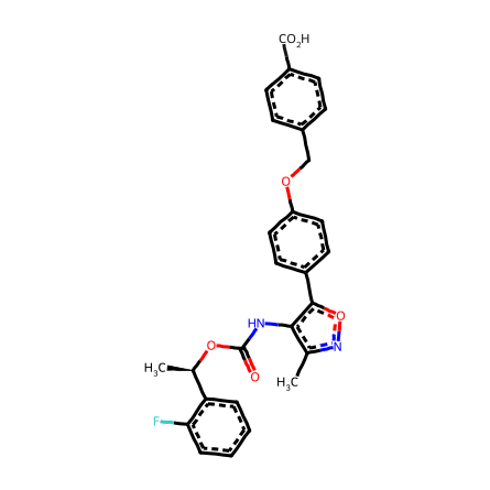 Cc1noc(-c2ccc(OCc3ccc(C(=O)O)cc3)cc2)c1NC(=O)O[C@H](C)c1ccccc1F